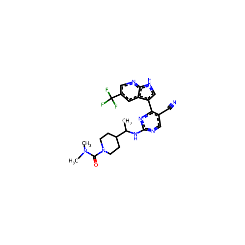 CC(Nc1ncc(C#N)c(-c2c[nH]c3ncc(C(F)(F)F)cc23)n1)C1CCN(C(=O)N(C)C)CC1